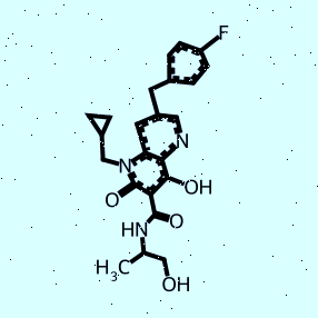 CC(CO)NC(=O)c1c(O)c2ncc(Cc3ccc(F)cc3)cc2n(CC2CC2)c1=O